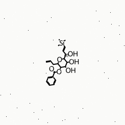 C=CCC1OC([C@@H](O)C=C[Si](C)(C)C)C(O)C(O)C1OC(=O)c1ccccc1